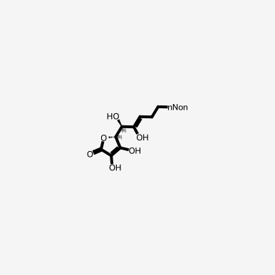 CCCCCCCCCCCC=C(O)[C@H](O)[C@H]1OC(=O)C(O)=C1O